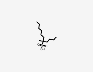 CCCCCCC(C)(CCCC)S(=O)(=O)O